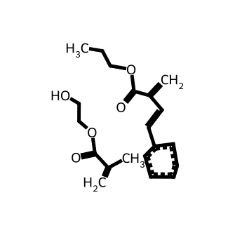 C=C(C)C(=O)OCCO.C=C(C=Cc1ccccc1)C(=O)OCCC